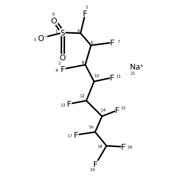 O=S(=O)([O-])C(F)C(F)C(F)C(F)C(F)C(F)C(F)C(F)F.[Na+]